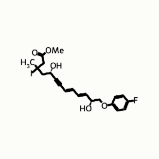 COC(=O)CC(C)(I)C[C@H](O)C#C/C=C/C=C/[C@H](O)COc1ccc(F)cc1